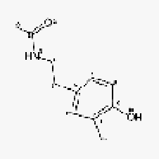 CC(=O)NCCc1ccc(O)c(C)c1